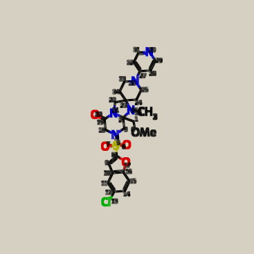 COCC12CN(S(=O)(=O)c3cc4cc(Cl)ccc4o3)CC(=O)N1CC1(CCN(c3ccncc3)CC1)N2C